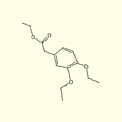 CCOC(=O)Cc1ccc(OCC)c(OCC)c1